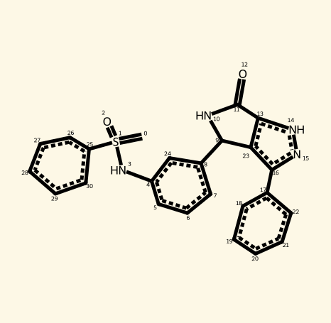 C=S(=O)(Nc1cccc(C2NC(=O)c3[nH]nc(-c4ccccc4)c32)c1)c1ccccc1